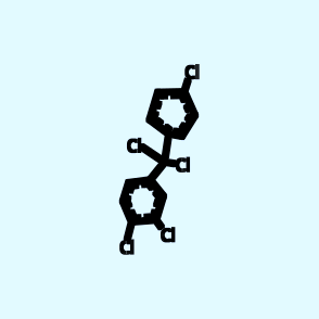 Clc1ccc(C(Cl)(Cl)c2ccc(Cl)c(Cl)c2)cc1